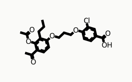 CCCc1c(OCCCOc2ccc(C(=O)O)cc2Cl)ccc(C(C)=O)c1OC(C)=O